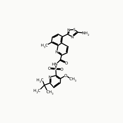 COc1ccc(C(C)(C)C)nc1S(=O)(=O)NC(=O)c1ccc2c(-c3nsc(N)n3)ccc(C)c2n1